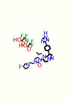 CC(C)[C@H]1CN(CCN2CC[C@H](F)C2)C(=O)N1c1ccn2ncc(-c3ccc(-c4nc[nH]n4)cc3)c2n1.O=C(O)C(F)(F)F.O=C(O)C(F)(F)F